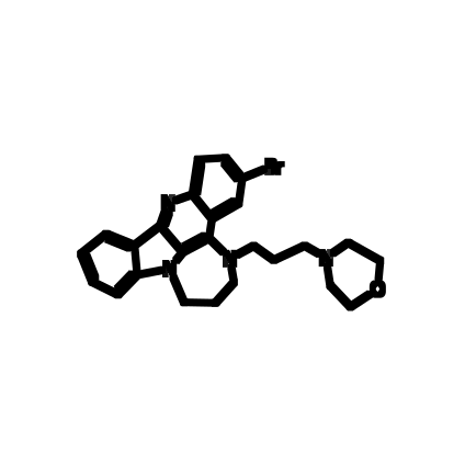 Brc1ccc2nc3c4ccccc4n4c3c(c2c1)N(CCCN1CCOCC1)CCC4